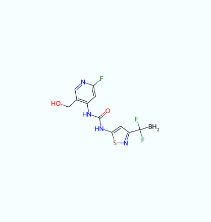 BC(F)(F)c1cc(NC(=O)Nc2cc(F)ncc2CO)sn1